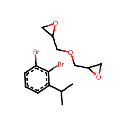 C(OCC1CO1)C1CO1.CC(C)c1cccc(Br)c1Br